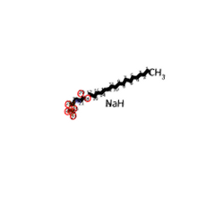 CCCCCCCCCCCCCCCCCCOC(=O)/C=C/C(=O)O[SH](=O)=O.[NaH]